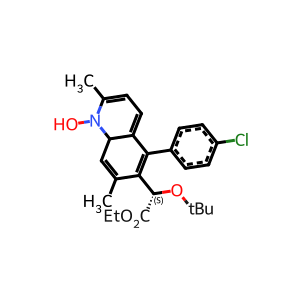 CCOC(=O)[C@@H](OC(C)(C)C)C1=C(c2ccc(Cl)cc2)C2=CC=C(C)N(O)C2C=C1C